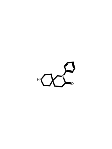 O=C1CCC2(CCNCC2)CN1c1ccccc1